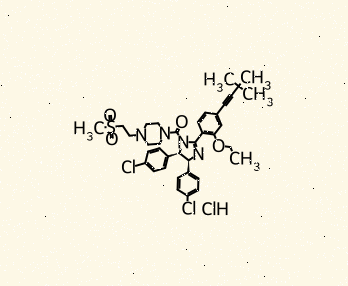 CCOc1cc(C#CC(C)(C)C)ccc1C1=N[C@@H](c2ccc(Cl)cc2)[C@@H](c2ccc(Cl)cc2)N1C(=O)N1CCN(CCS(C)(=O)=O)CC1.Cl